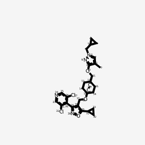 Cc1cn(CC2CC2)nc1OCC12CCC(OCc3c(-c4c(Cl)cncc4Cl)noc3C3CC3)(CC1)CC2